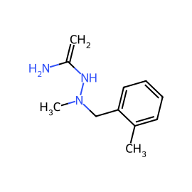 C=C(N)NN(C)Cc1ccccc1C